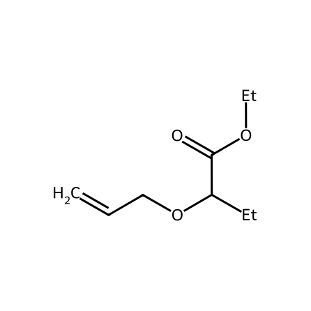 C=CCOC(CC)C(=O)OCC